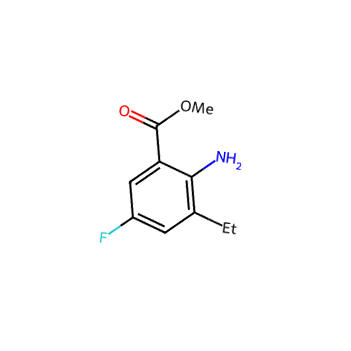 CCc1cc(F)cc(C(=O)OC)c1N